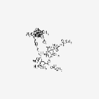 C=CC(=O)OCCOC(=O)NC1CC(C)(C)CC(C)(CC(=O)CCOCCC[Si](C)(C)O[Si](C)(C)O[Si](C)(C)CCCOCCCCCCC(=O)CC2(C)CC(C(=O)CCOC(=O)C=C)CC(C)(C)C2)C1